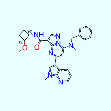 CO[C@H]1CC[C@@H]1NC(=O)c1cnn2c(N(C)Cc3ccccc3)cc(-c3cn(C)c4ncccc34)nc12